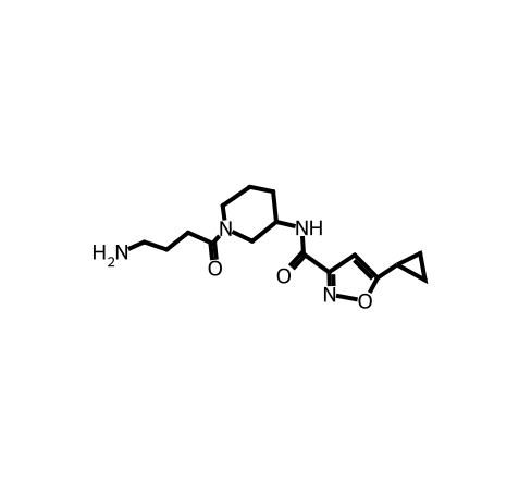 NCCCC(=O)N1CCCC(NC(=O)c2cc(C3CC3)on2)C1